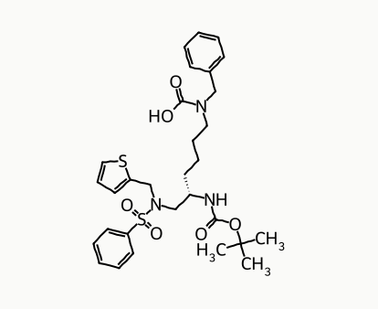 CC(C)(C)OC(=O)N[C@@H](CCCCN(Cc1ccccc1)C(=O)O)CN(Cc1cccs1)S(=O)(=O)c1ccccc1